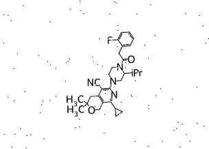 CC(C)C1CN(c2nc(C3CC3)c3c(c2C#N)CC(C)(C)OC3)CCN1C(=O)Cc1ccccc1F